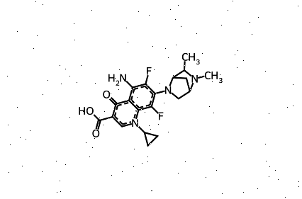 CC1C2CC(CN2c2c(F)c(N)c3c(=O)c(C(=O)O)cn(C4CC4)c3c2F)N1C